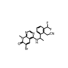 CC(Nc1ncnc2c1cc(Br)c(=O)n2C)c1cccc(C(F)F)c1CC#N